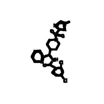 Cn1cnc(S(=O)(=O)N2CCC(C(NC(=O)c3ccc(Cl)cc3Cl)c3ccccn3)CC2)c1